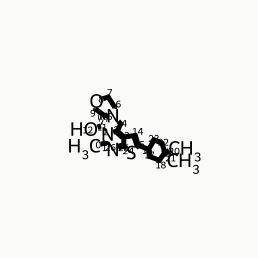 Cc1nc(CN2CCOC[C@H]2CO)c2cc(C3CCC(C)(C)CC3)sc2n1